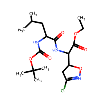 CCOC(=O)C(NC(=O)C(CC(C)C)NC(=O)OC(C)(C)C)C1CC(Cl)=NO1